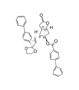 O=C1C[C@@H]2[C@@H](/C=C/C3(c4ccc(-c5ccccc5)cc4)OCCO3)[C@H](OC(=O)c3ccc(-c4ccccc4)cc3)C[C@@H]2O1